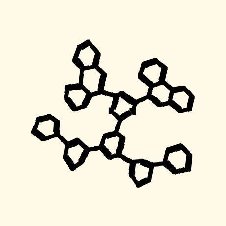 c1ccc(-c2cccc(-c3cc(-c4cccc(-c5ccccc5)c4)cc(-c4nc(-c5cc6ccccc6c6ccccc56)cc(-c5cc6ccccc6c6ccccc56)n4)c3)c2)cc1